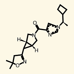 C[C@H](C1CCC1)n1cnc(C(=O)N2C[C@@H]3C(C4=NOC(C)(C)C4)[C@@H]3C2)c1